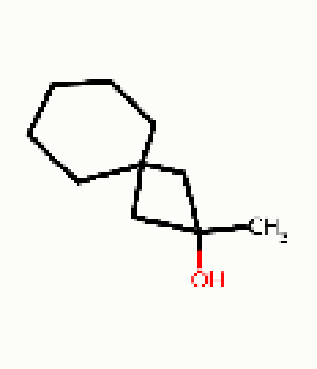 CC1(O)CC2(CCCCC2)C1